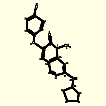 Cn1c(=O)c(Oc2ccc(Cl)cc2)cc2cnc(NC3CCCC3)nc21